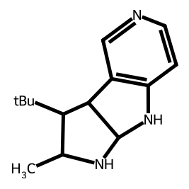 CC1NC2Nc3ccncc3C2C1C(C)(C)C